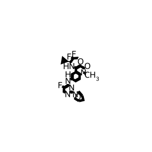 Cn1c(=O)c2c(c3cc(Nc4nc(N5CC6CC(C5)O6)ncc4F)ccc31)N[C@@H](C1CC1)C(F)(F)CO2